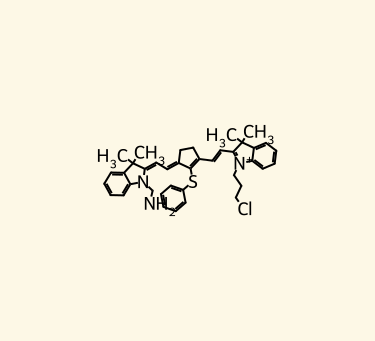 CC1(C)C(/C=C/C2=C(Sc3ccccc3)C(=C/C=C3\N(CN)c4ccccc4C3(C)C)/CC2)=[N+](CCCCl)c2ccccc21